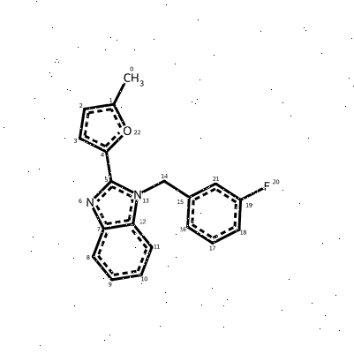 Cc1ccc(-c2nc3ccccc3n2Cc2cccc(F)c2)o1